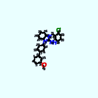 COc1cccc(-c2ccc(-n3c(=N)n(Cc4ccccc4Cl)c4ccccc43)cc2)c1